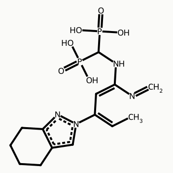 C=N/C(=C\C(=C/C)n1cc2c(n1)CCCC2)NC(P(=O)(O)O)P(=O)(O)O